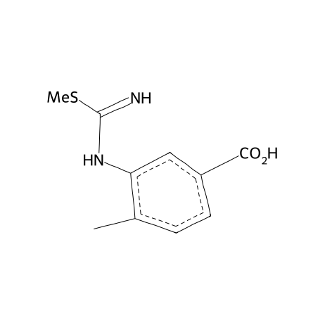 CSC(=N)Nc1cc(C(=O)O)ccc1C